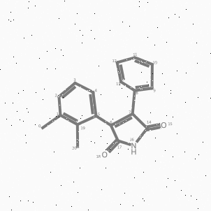 Cc1cccc(C2=C(c3ccccc3)C(=O)NC2=O)c1C